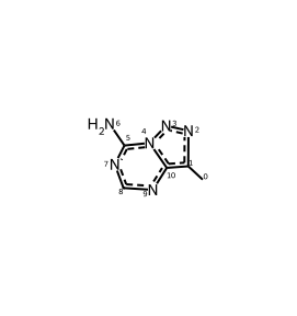 Cc1nnn2c(N)ncnc12